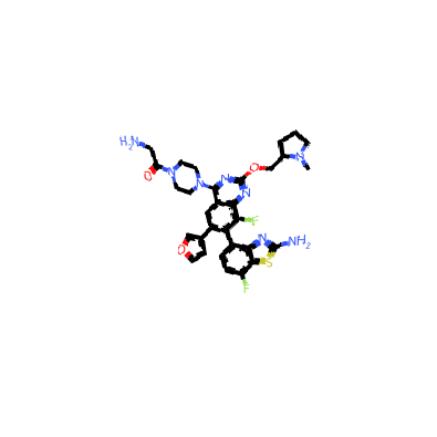 CN1CCCC1COc1nc(N2CCN(C(=O)CN)CC2)c2cc(-c3ccoc3)c(-c3ccc(F)c4sc(N)nc34)c(F)c2n1